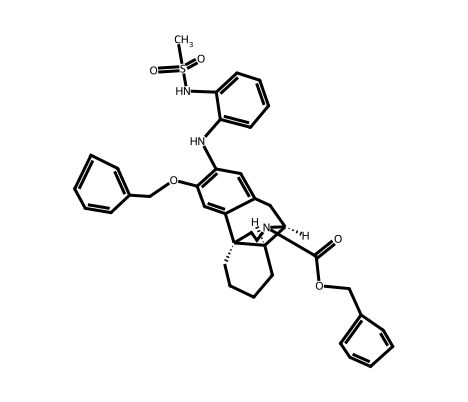 CS(=O)(=O)Nc1ccccc1Nc1cc2c(cc1OCc1ccccc1)[C@]13CCCC[C@@H]1[C@H](C2)N(C(=O)OCc1ccccc1)CC3